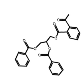 CC(=O)c1ccccc1C(=O)OCC(COC(=O)c1ccccc1)OC(=O)c1ccccc1